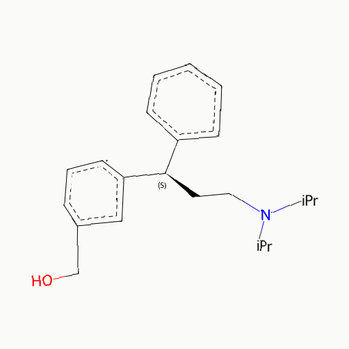 CC(C)N(CC[C@@H](c1[c]ccc(CO)c1)c1ccccc1)C(C)C